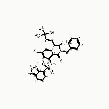 CC(CCCC(C)(C)O)N(Cc1ccccc1)C(=O)c1ccc(Cl)cc1NS(=O)(=O)c1cccc2nsnc12